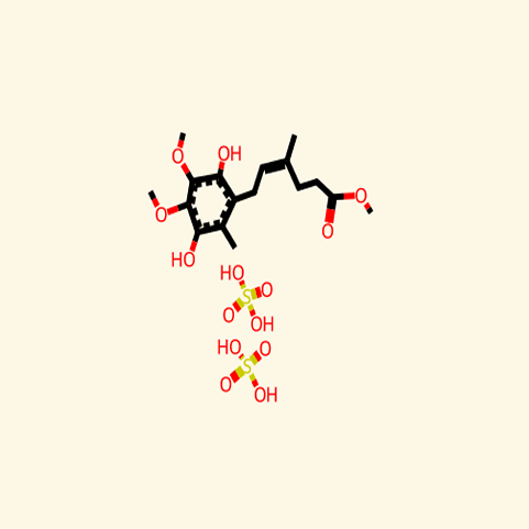 COC(=O)CCC(C)=CCc1c(C)c(O)c(OC)c(OC)c1O.O=S(=O)(O)O.O=S(=O)(O)O